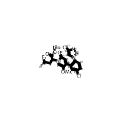 COc1cn(C(CC(F)F)C(=O)OC(C)(C)C)c(=O)cc1-c1cc(Cl)ccc1-n1cc(Cl)nn1